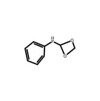 c1ccc(PC2OCO2)cc1